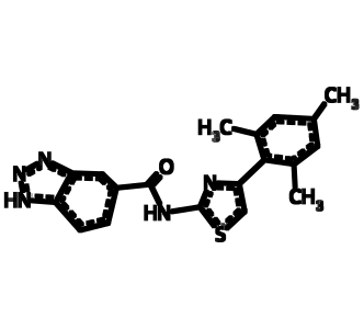 Cc1cc(C)c(-c2csc(NC(=O)c3ccc4[nH]nnc4c3)n2)c(C)c1